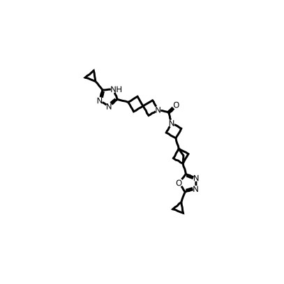 O=C(N1CC(C23CC(c4nnc(C5CC5)o4)(C2)C3)C1)N1CC2(CC(c3nnc(C4CC4)[nH]3)C2)C1